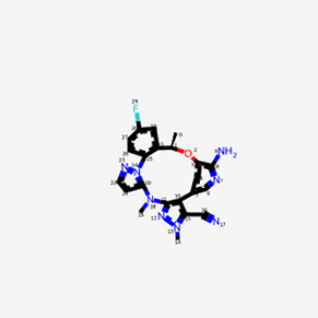 C[C@H]1Oc2cc(cnc2N)-c2c(nn(C)c2C#N)N(C)c2ccnn2-c2ccc(F)cc21